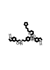 O=S(=O)(c1ccc2c(c1)CCN2)N(c1ccc(CCNCC(O)c2ccc3[nH]ccc3c2)cc1)c1cccc(CCCC2CCCC2)n1